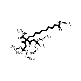 CC(C)(C)OOC(C)(CC(=O)C(CCCCCCCCCC(=O)NN)(C(=O)CC(C)(OOC(C)(C)C)OOC(C)(C)C)C(=O)NN)OOC(C)(C)C